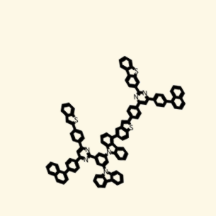 c1ccc2sc(-c3ccc(-c4cc(-c5ccc(-c6cccc7ccccc67)cc5)nc(-c5cc(-n6c7ccccc7c7ccccc76)cc(-n6c7ccccc7c7c(-c8ccc9sc(-c%10ccc(-c%11cc(-c%12ccc(-c%13cccc%14ccccc%13%14)cc%12)nc(-c%12ccc%13c(c%12)sc%12ccccc%12%13)n%11)cc%10)cc9c8)cccc76)c5)n4)cc3)cc2c1